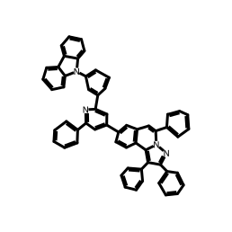 c1ccc(-c2cc(-c3ccc4c(c3)cc(-c3ccccc3)n3nc(-c5ccccc5)c(-c5ccccc5)c43)cc(-c3cccc(-n4c5ccccc5c5ccccc54)c3)n2)cc1